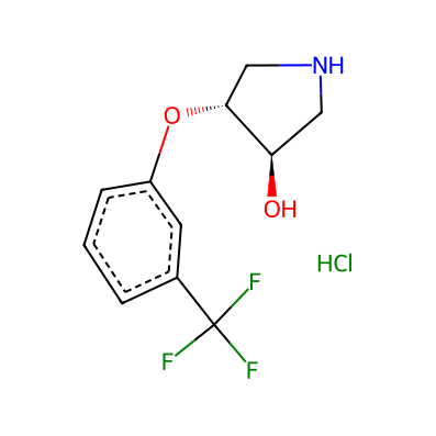 Cl.O[C@@H]1CNC[C@H]1Oc1cccc(C(F)(F)F)c1